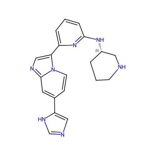 c1cc(N[C@H]2CCCNC2)nc(-c2cnc3cc(-c4cnc[nH]4)ccn23)c1